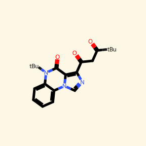 CC(C)(C)C(=O)CC(=O)c1ncn2c1c(=O)n(C(C)(C)C)c1ccccc12